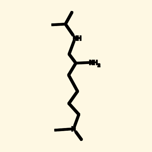 CC(C)NCC(N)CCCCN(C)C